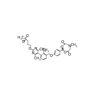 Cc1nc(OCCCS(C)(=O)=O)nc(C)c1-c1cccc(COc2ccc(B3OC(=O)CN(C)CC(=O)O3)cc2)c1C